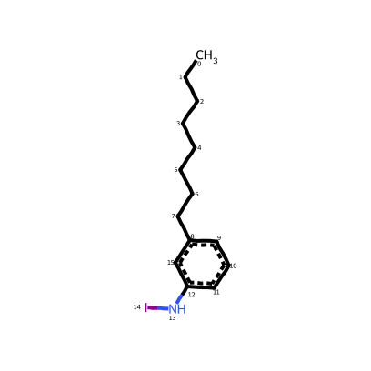 CCCCCCCCc1cccc(NI)c1